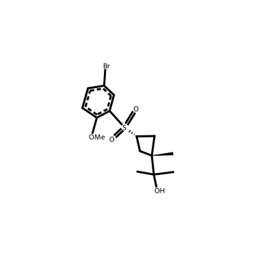 COc1ccc(Br)cc1S(=O)(=O)[C@H]1C[C@@](C)(C(C)(C)O)C1